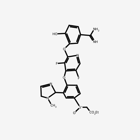 CCOC(=O)C[S+]([O-])c1ccc(Oc2c(F)cnc(Oc3cc(C(=N)N)ccc3O)c2F)c(C2N=CCN2C)c1